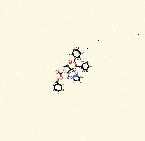 O=C(OCc1ccccc1)N1C[C@H](OCc2ccccc2)[C@@H](OCc2ccccc2)[C@H]1Cn1cccn1